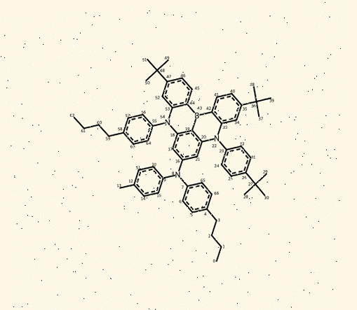 CCCCc1ccc(N(c2ccc(C)cc2)c2cc3c4c(c2)N(c2ccc(C(C)(C)C)cc2)c2cc(C(C)(C)C)ccc2B4c2ccc(C(C)(C)C)cc2N3c2ccc(CCCC)cc2)cc1